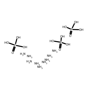 N.N.N.N.N.N.N.N.N.O=P(O)(O)O.O=P(O)(O)O.O=P(O)(O)O